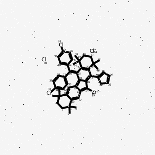 CC1(C)CCC(C)(C)c2cc3c(cc21)=[C]([Zr+2])c1c(C2=CC=CC2)c2c(c(=C(c4ccc(Cl)cc4)c4ccc(Cl)cc4)c1=3)C(C)(C)CCC2(C)C.[Cl-].[Cl-]